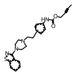 CC#CCOC(=O)Nc1ccc(CCN2CCN(c3nsc4ccccc34)CC2)cc1